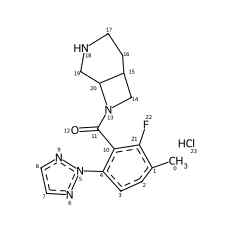 Cc1ccc(-n2nccn2)c(C(=O)N2CC3CCNCC32)c1F.Cl